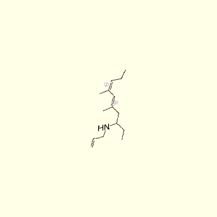 C=CCNC(CC)C/C(C)=C/C(C)=C\CC